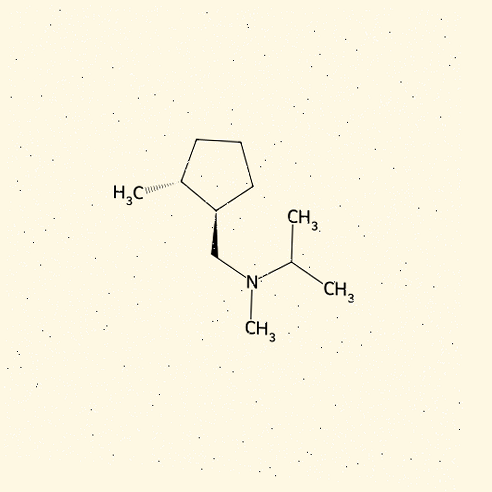 CC(C)N(C)C[C@@H]1CCC[C@H]1C